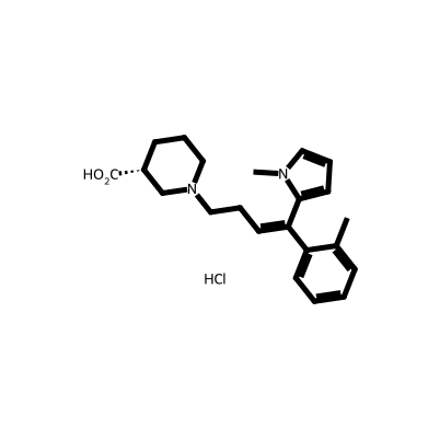 Cc1ccccc1C(=CCCN1CCC[C@@H](C(=O)O)C1)c1cccn1C.Cl